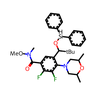 CON(C)C(=O)c1cc(C(O[SiH](c2ccccc2)c2ccccc2)C(C)(C)C)c(N2CC(C)OC(C)C2)c(F)c1F